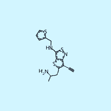 C#Cc1c(CC(C)N)sc2c(NCc3cccs3)snc12